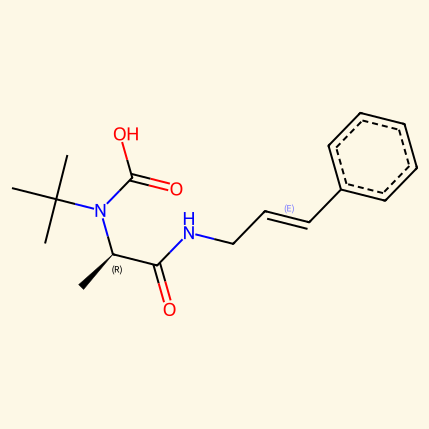 C[C@H](C(=O)NC/C=C/c1ccccc1)N(C(=O)O)C(C)(C)C